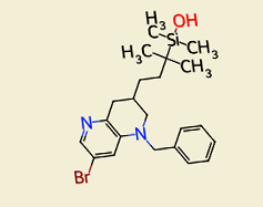 CC(C)(CCC1Cc2ncc(Br)cc2N(Cc2ccccc2)C1)[Si](C)(C)O